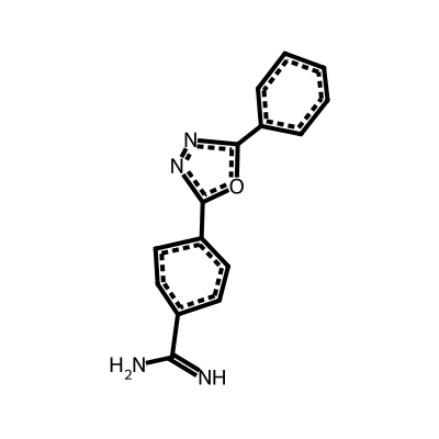 N=C(N)c1ccc(-c2nnc(-c3ccccc3)o2)cc1